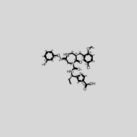 CC[C@@H](NC(=O)N1C/C(=N/Oc2cccc(F)c2)NC[C@@H](Cc2cc(Cl)ccc2OC)C1=O)c1cc(C(=O)O)cs1